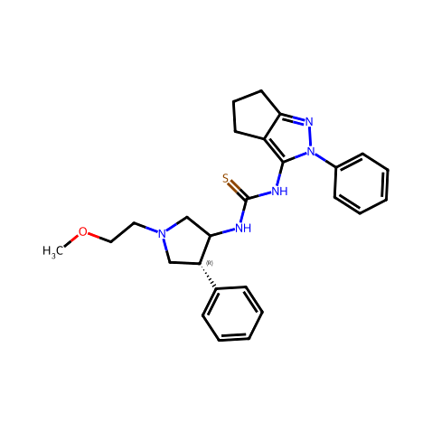 COCCN1CC(NC(=S)Nc2c3c(nn2-c2ccccc2)CCC3)[C@H](c2ccccc2)C1